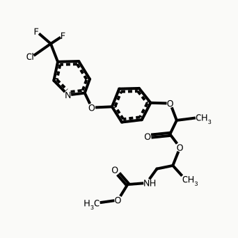 COC(=O)NCC(C)OC(=O)C(C)Oc1ccc(Oc2ccc(C(F)(F)Cl)cn2)cc1